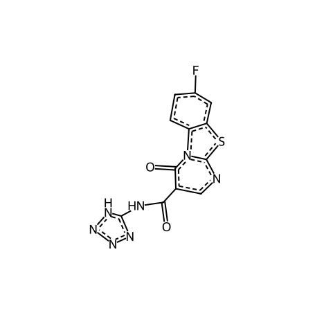 O=C(Nc1nnn[nH]1)c1cnc2sc3cc(F)ccc3n2c1=O